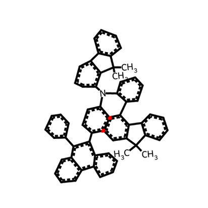 CC1(C)c2ccccc2-c2c(-c3ccccc3N(c3ccc(-c4c(-c5ccccc5)c5ccccc5c5ccccc45)cc3)c3cccc4c3C(C)(C)c3ccccc3-4)cccc21